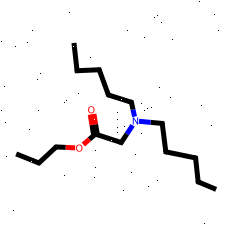 CCCCCN(CCCCC)CC(=O)OCCC